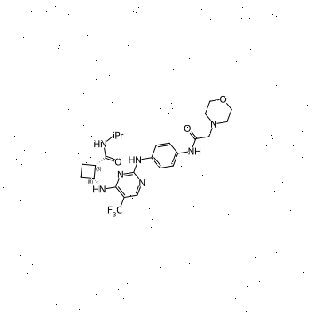 CC(C)NC(=O)[C@H]1CC[C@H]1Nc1nc(Nc2ccc(NC(=O)CN3CCOCC3)cc2)ncc1C(F)(F)F